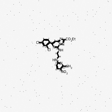 CCOC(=O)c1nc2cc(-c3ccc(Cl)cc3Cl)nc(NCCNc3ccc([N+](=O)[O-])c(N)n3)n2n1